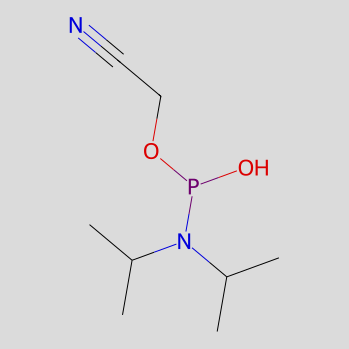 CC(C)N(C(C)C)P(O)OCC#N